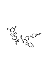 CCCN1CCN(c2ccc(C(=O)Nc3n[nH]c4c3CN(S(=O)(=O)c3cc(F)cc(F)c3)CC4)c(NC3CCOCC3)c2)CC1